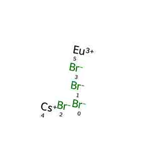 [Br-].[Br-].[Br-].[Br-].[Cs+].[Eu+3]